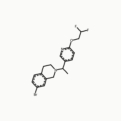 CC(c1ccc(OCC(F)F)nc1)N1CCc2ccc(Br)cc2C1